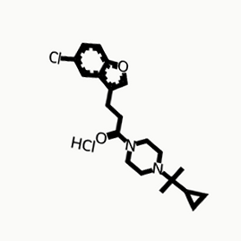 CC(C)(C1CC1)N1CCN(C(=O)CCc2coc3ccc(Cl)cc23)CC1.Cl